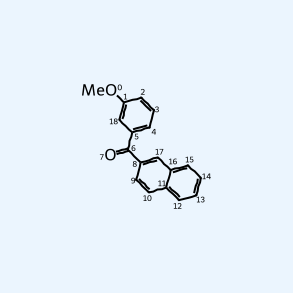 COc1cccc(C(=O)c2ccc3ccccc3c2)c1